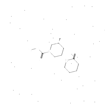 CC(C)(C)OC(=O)N1C[C@@H](F)C[C@H](N2CCCCC2=O)C1